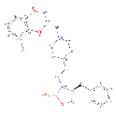 O=C1OC[C@H](Cc2ccccc2)N1CCC1CCN(C[C@H]2COc3cccc(Br)c3O2)CC1